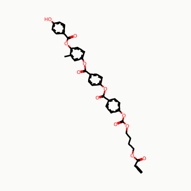 C=CC(=O)OCCCCOC(=O)Oc1ccc(C(=O)Oc2ccc(C(=O)Oc3ccc(OC(=O)c4ccc(O)cc4)c(C)c3)cc2)cc1